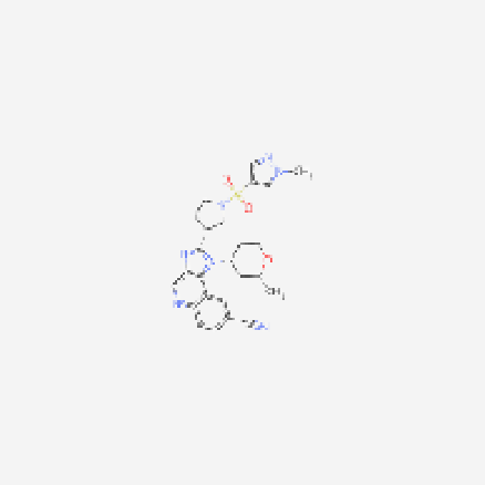 C[C@@H]1C[C@H](n2c([C@@H]3CCN(S(=O)(=O)c4cnn(C)c4)C3)nc3cnc4ccc(C#N)cc4c32)CCO1